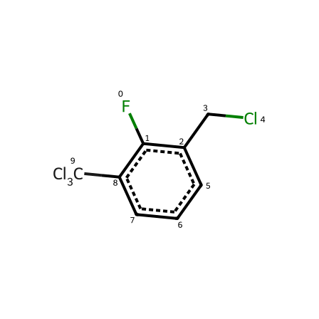 Fc1c(CCl)cccc1C(Cl)(Cl)Cl